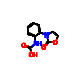 O=C(O)Nc1ccccc1N1CCOC1=O